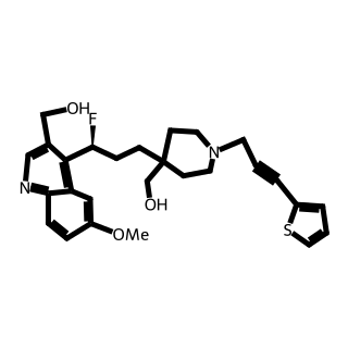 COc1ccc2ncc(CO)c([C@@H](F)CCC3(CO)CCN(CC#Cc4cccs4)CC3)c2c1